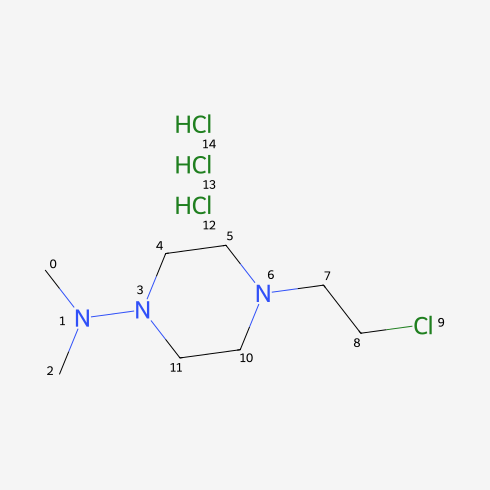 CN(C)N1CCN(CCCl)CC1.Cl.Cl.Cl